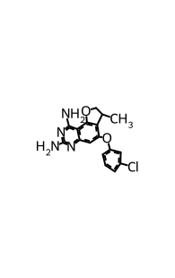 CC1COc2c1c(Oc1cccc(Cl)c1)cc1nc(N)nc(N)c21